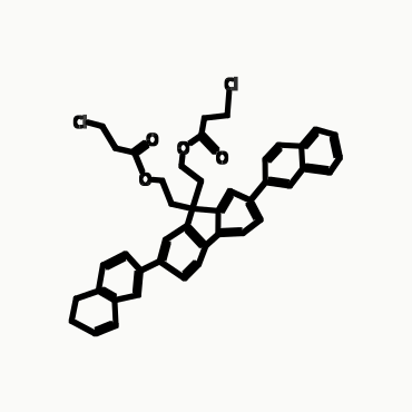 O=C(CCCl)OCCC1(CCOC(=O)CCCl)c2cc(-c3ccc4c(c3)C=CCC4)ccc2-c2ccc(-c3ccc4ccccc4c3)cc21